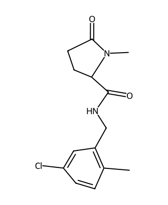 Cc1ccc(Cl)cc1CNC(=O)C1CCC(=O)N1C